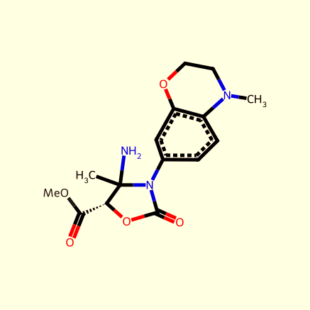 COC(=O)[C@H]1OC(=O)N(c2ccc3c(c2)OCCN3C)C1(C)N